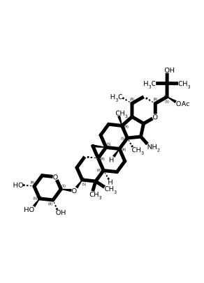 CC(=O)O[C@@H]([C@H]1C[C@@H](C)C2C(O1)C(N)[C@@]1(C)[C@@H]3CC[C@H]4C(C)(C)[C@@H](O[C@@H]5OC[C@@H](O)[C@H](O)[C@H]5O)CC[C@@]45C[C@@]35CC[C@]21C)C(C)(C)O